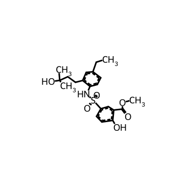 CCc1ccc(NS(=O)(=O)c2ccc(O)c(C(=O)OC)c2)c(CCC(C)(C)O)c1